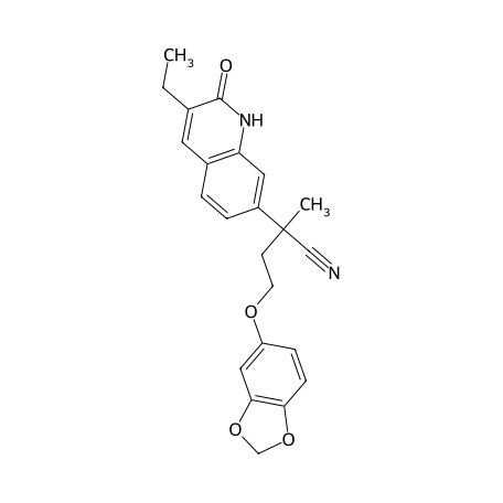 CCc1cc2ccc(C(C)(C#N)CCOc3ccc4c(c3)OCO4)cc2[nH]c1=O